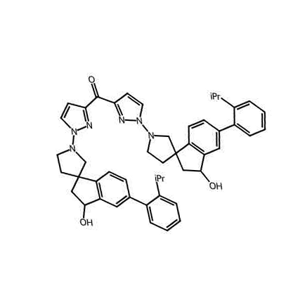 CC(C)c1ccccc1-c1ccc2c(c1)C(O)CC21CCN(n2ccc(C(=O)c3ccn(N4CCC5(CC(O)c6cc(-c7ccccc7C(C)C)ccc65)C4)n3)n2)C1